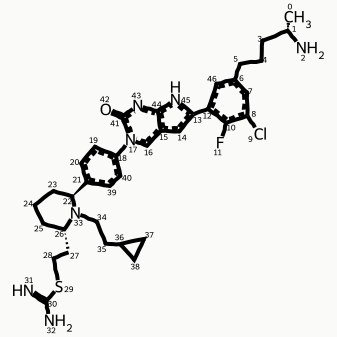 C[C@H](N)CCCc1cc(Cl)c(F)c(-c2cc3cn(-c4ccc([C@@H]5CCC[C@@H](CCSC(=N)N)N5CCC5CC5)cc4)c(=O)nc3[nH]2)c1